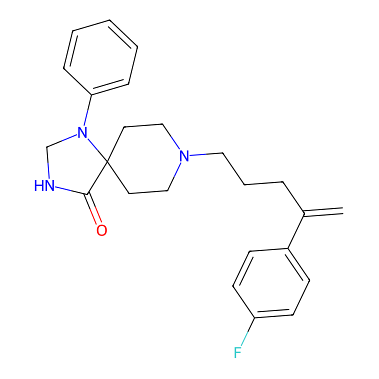 C=C(CCCN1CCC2(CC1)C(=O)NCN2c1ccccc1)c1ccc(F)cc1